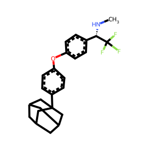 CN[C@@H](c1ccc(Oc2ccc(C34CC5CC(CC(C5)C3)C4)cc2)cc1)C(F)(F)F